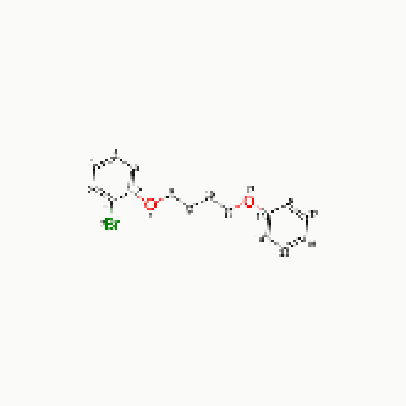 Brc1ccccc1OCCCCOc1ccccc1